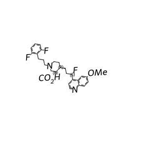 COc1ccc2nccc([C@@H](F)CC[C@@H]3CCN(CCCc4c(F)cccc4F)C[C@@H]3C(=O)O)c2c1